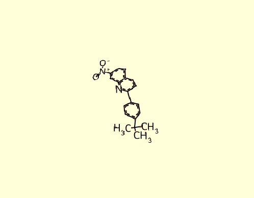 CC(C)(C)c1ccc(-c2ccc3ccc([N+](=O)[O-])cc3n2)cc1